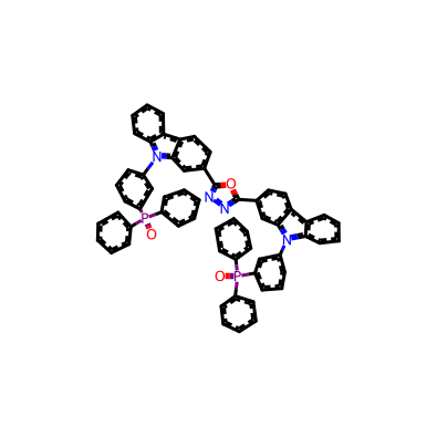 O=P(c1ccccc1)(c1ccccc1)c1cccc(-n2c3ccccc3c3ccc(-c4nnc(-c5ccc6c7ccccc7n(-c7cccc(P(=O)(c8ccccc8)c8ccccc8)c7)c6c5)o4)cc32)c1